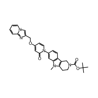 Cn1c2c(c3ccc(-n4ccc(OCc5cn6ccccc6n5)cc4=O)cc31)CN(C(=O)OC(C)(C)C)CC2